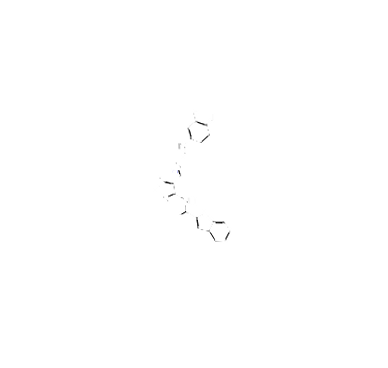 O=C(Nc1nonc1/C=N/ONc1ccc(F)c(Br)c1)c1cc2ccccc2s1